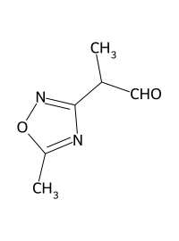 Cc1nc(C(C)C=O)no1